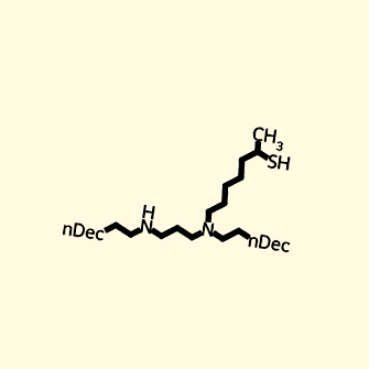 CCCCCCCCCCCCNCCCN(CCCCCCCCCCCC)CCCCCC(C)S